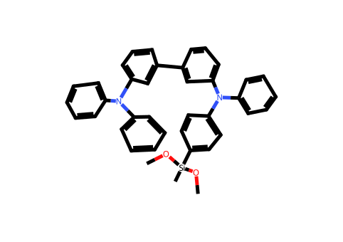 CO[Si](C)(OC)c1ccc(N(c2ccccc2)c2cccc(-c3cccc(N(c4ccccc4)c4ccccc4)c3)c2)cc1